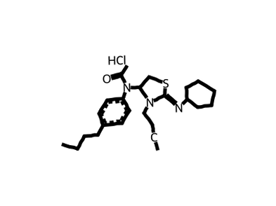 CCCCc1ccc(N(C(C)=O)C2CSC(=NC3CCCCC3)N2CCCC)cc1.Cl